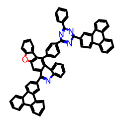 c1ccc(-c2nc(-c3ccc(-c4c5c(cc6c(-c7ccc8c9ccccc9c9ccccc9c8c7)nc7ccccc7c46)oc4ccccc45)cc3)nc(-c3ccc4c5ccccc5c5ccccc5c4c3)n2)cc1